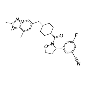 Cc1nc2c(C)cc(C[C@H]3CC[C@H](C(=O)N4OCC[C@H]4c4cc(F)cc(C#N)c4)CC3)cn2n1